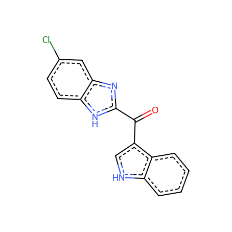 O=C(c1nc2cc(Cl)ccc2[nH]1)c1c[nH]c2ccccc12